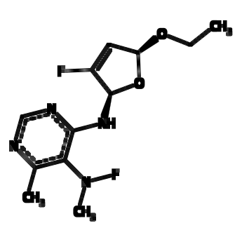 CCO[C@@H]1C=C(F)[C@H](Nc2ncnc(C)c2N(C)F)O1